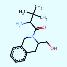 CC(C)(C)C(N)C(=O)N1Cc2ccccc2CC1CO